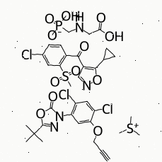 C#CCOc1cc(-n2nc(C(C)(C)C)oc2=O)c(Cl)cc1Cl.CS(=O)(=O)c1cc(Cl)ccc1C(=O)c1cnoc1C1CC1.C[S+](C)C.O=C(O)CNCP(=O)([O-])O